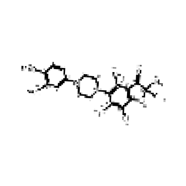 COc1ccc(N2CCN(c3c(C)c(C)c4c(c3C)C(=O)C(C)(C)O4)CC2)cc1OC